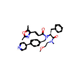 COCCN(C)C(=O)[C@H](Cc1ccccc1)N(Cc1ccc(-c2ccncc2)cc1)C(=O)/C=C/c1nc(C)oc1C